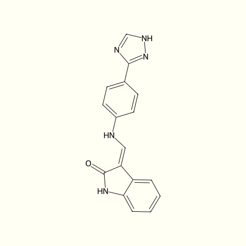 O=C1Nc2ccccc2/C1=C/Nc1ccc(-c2nc[nH]n2)cc1